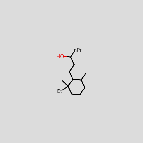 CCCC(O)CCC1C(C)CCCC1(C)CC